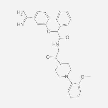 COc1ccccc1N1CCN(C(=O)CNC(=O)C(Oc2cccc(C(=N)N)c2)c2ccccc2)CC1